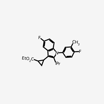 CCOC(=O)C1CC1c1c(C(C)C)n(-c2ccc(F)c(C)c2)c2ccc(F)cc12